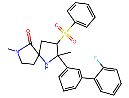 CN1CCC2(CC(S(=O)(=O)c3ccccc3)C(C)(c3cccc(-c4ccccc4F)c3)N2)C1=O